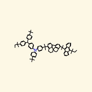 CCC(C)(C)c1ccc(C(c2ccc(N(c3ccc(C(C)(C)C)cc3)c3ccc(C(C)(C)c4ccc5c6c4CCCC64CCCc6c(C(C)(C)c7c8ccccc8c(C(C)(C)CC)c8ccccc78)ccc-5c64)cc3)cc2)c2ccc(C(C)(C)C)cc2)cc1